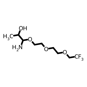 CC(O)C(N)OCCOCCOCC(F)(F)F